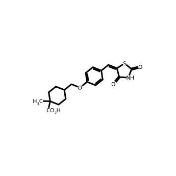 CC1(C(=O)O)CCC(COc2ccc(C=C3SC(=O)NC3=O)cc2)CC1